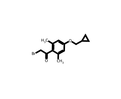 Cc1cc(OCC2CC2)cc(C)c1C(=O)CBr